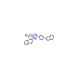 CN1SN=C(c2ccc(-c3ccc4ccccc4c3)cc2)N=C1c1ccc2ccccc2c1